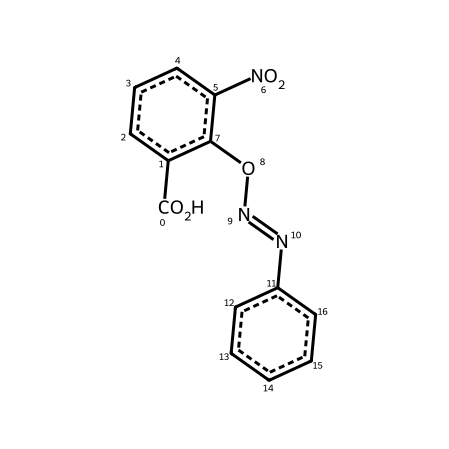 O=C(O)c1cccc([N+](=O)[O-])c1ON=Nc1ccccc1